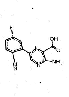 N#Cc1ccc(F)cc1-c1cnc(N)c(C(=O)O)n1